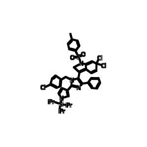 Cc1ccc(S(=O)(=O)N2CC(c3c(-c4ccccc4)nc(-c4ccn([Si](C(C)C)(C(C)C)C(C)C)c4)n3Cc3ccc(Cl)cc3)=C3C=CC(Cl)(Cl)C=C32)cc1